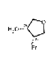 CC(C)[C@H]1COC[C@H]1C